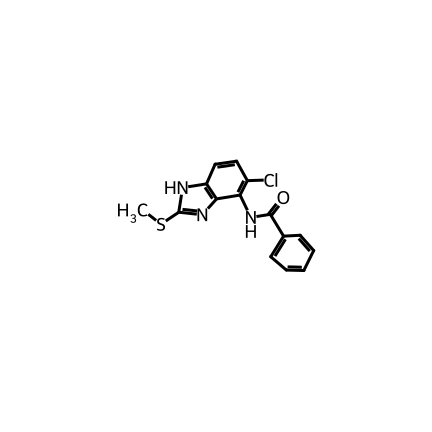 CSc1nc2c(NC(=O)c3ccccc3)c(Cl)ccc2[nH]1